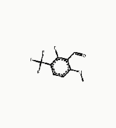 COc1ccc(C(F)(F)F)c(F)c1C=O